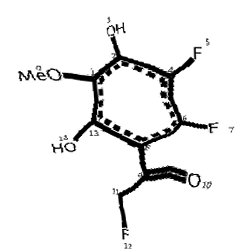 COc1c(O)c(F)c(F)c(C(=O)CF)c1O